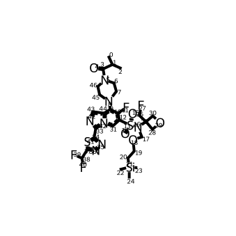 CC(C)C(=O)N1CCN(c2c(F)c(S(=O)(=O)N(COCC[Si](C)(C)C)C3(CF)COC3)cn3c(-c4nnc(C(F)F)s4)ncc23)CC1